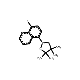 CC1(C)OB(c2ccc(F)c3ncccc23)OC1(C)C